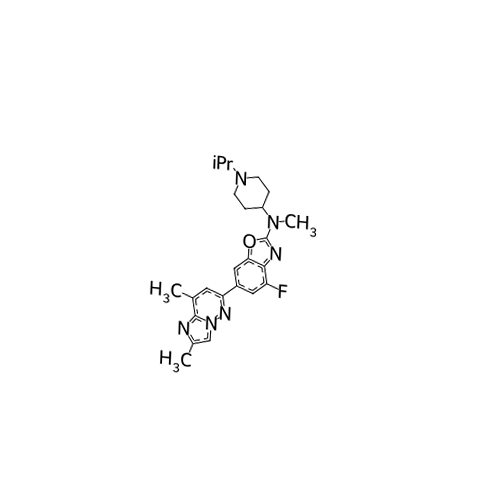 Cc1cn2nc(-c3cc(F)c4nc(N(C)C5CCN(C(C)C)CC5)oc4c3)cc(C)c2n1